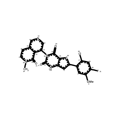 COc1cc(-c2cc3[nH]c(=O)n(-c4cncc5ccn(C)c(=O)c45)c(=O)c3s2)c(Cl)cc1F